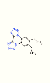 CCc1cc2c(cc1CC)n1nnnc1c1nnnn21